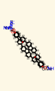 COc1ccc(-c2ccc(-c3ccc4c(c3)C3(c5cc(-c6ccc(-c7ccc(OC=N)cc7)cc6)ccc5-c5ccc(-c6ccc(-c7ccc(OCN=[N+]=[N-])cc7)cc6)cc53)c3cc(-c5ccc(-c6ccc(OCN=[N+]=[N-])cc6)cc5)ccc3-4)cc2)cc1